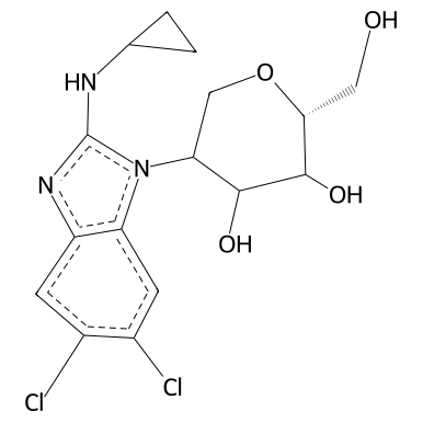 OC[C@H]1OCC(n2c(NC3CC3)nc3cc(Cl)c(Cl)cc32)C(O)C1O